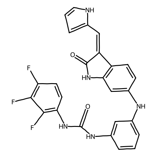 O=C(Nc1cccc(Nc2ccc3c(c2)NC(=O)/C3=C\c2ccc[nH]2)c1)Nc1ccc(F)c(F)c1F